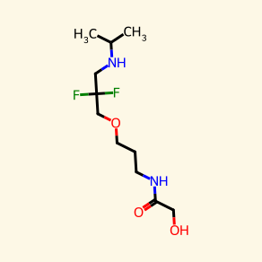 CC(C)NCC(F)(F)COCCCNC(=O)CO